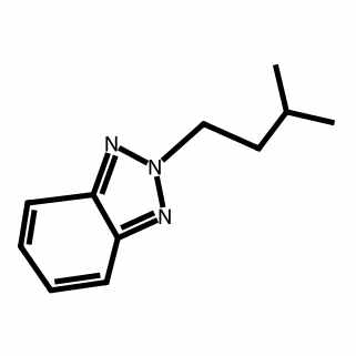 CC(C)CCn1nc2ccccc2n1